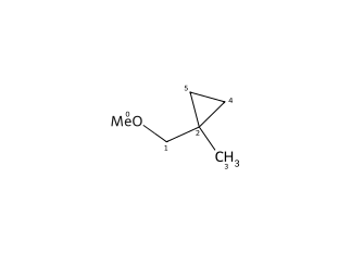 [CH2]OCC1(C)CC1